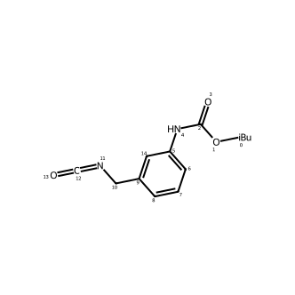 [CH2]CC(C)OC(=O)Nc1cccc(CN=C=O)c1